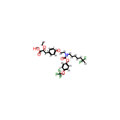 CCOC(Cc1ccc(OCCN(CCCCCC(C)(F)F)C(=O)Oc2ccc(OC(F)(F)F)cc2)cc1)C(=O)O